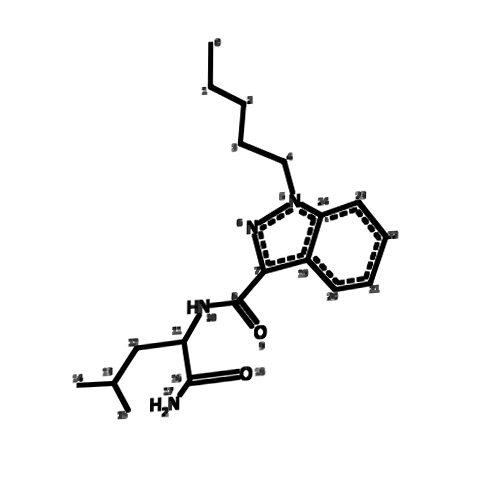 CCCCCn1nc(C(=O)NC(CC(C)C)C(N)=O)c2ccccc21